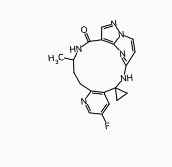 CC1CCc2ncc(F)cc2C2(CC2)Nc2ccn3ncc(c3n2)C(=O)N1